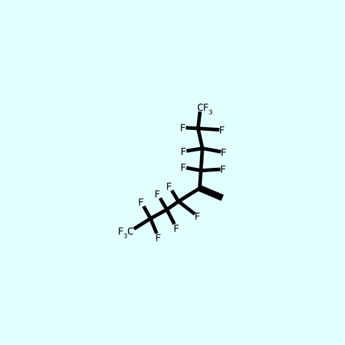 C=C(C(F)(F)C(F)(F)C(F)(F)C(F)(F)F)C(F)(F)C(F)(F)C(F)(F)C(F)(F)F